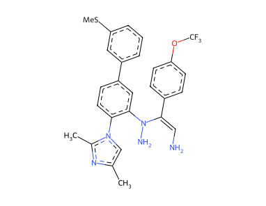 CSc1cccc(-c2ccc(-n3cc(C)nc3C)c(N(N)/C(=C\N)c3ccc(OC(F)(F)F)cc3)c2)c1